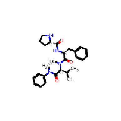 CC(C)[C@@H](C(=O)N(C)c1ccccc1)N(C)C(=O)[C@H](Cc1ccccc1)NC(=O)[C@@H]1CCCN1